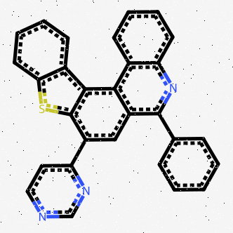 c1ccc(-c2nc3ccccc3c3c2cc(-c2ccncn2)c2sc4ccccc4c23)cc1